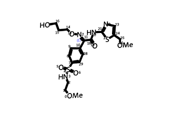 COCCNS(=O)(=O)c1ccc(/C(=N\OCCCO)C(=O)Nc2ncc(COC)s2)cc1